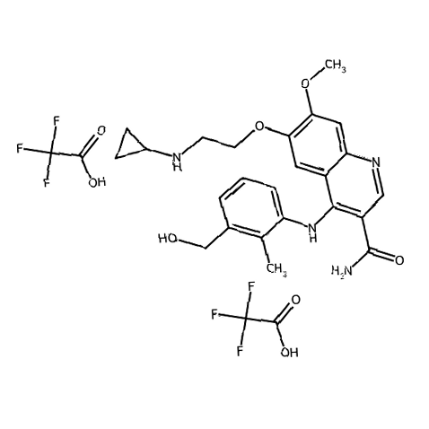 COc1cc2ncc(C(N)=O)c(Nc3cccc(CO)c3C)c2cc1OCCNC1CC1.O=C(O)C(F)(F)F.O=C(O)C(F)(F)F